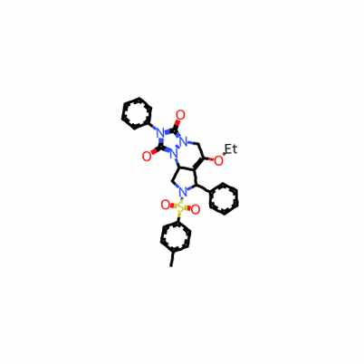 CCOC1=C2C(c3ccccc3)N(S(=O)(=O)c3ccc(C)cc3)CC2n2c(=O)n(-c3ccccc3)c(=O)n2C1